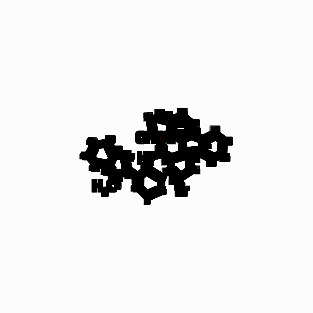 Cn1c(-c2ccccc2PN(c2ccccc2)c2cc(Br)ccc2-c2c(C=O)cccc2-c2ccccc2)nc2ccccc21